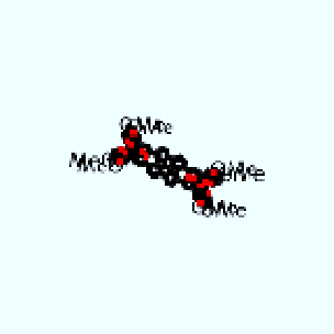 COc1ccc(N(c2ccc(OC)cc2)c2ccc(-c3ccc4c(c3)C3(c5cc(-c6ccc(N(c7ccc(OC)cc7)c7ccc(OC)cc7)cc6)ccc5-4)c4cc(-c5ccc(N(c6ccc(OC)cc6)c6ccc(OC)cc6)cc5)ccc4-c4ccc(-c5ccc(N(c6ccc(OC)cc6)c6ccc(OC)cc6)cc5)cc43)cc2)cc1